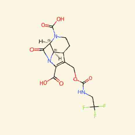 O=C(NCC(F)(F)F)OCC1=C(C(=O)O)N2C(=O)[C@@H]3[C@H]2C1CCN3C(=O)O